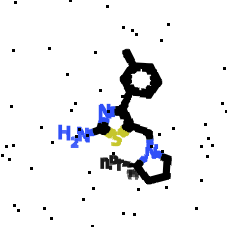 CCC[C@@H]1CCCN1Cc1sc(N)nc1-c1cccc(C)c1